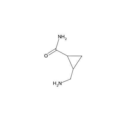 NCC1CC1C(N)=O